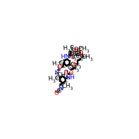 CC1(C)CC(NC(=O)C[Si](C)(C)O[Si](C)(C)O[Si](C)(C)CCCOCCOC(=O)NC2CC(C)(C)CC(C)(CN=C=O)C2)CC(C)(COC#N)C1